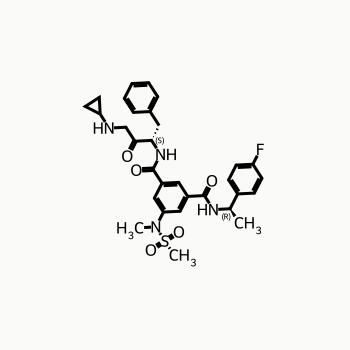 C[C@@H](NC(=O)c1cc(C(=O)N[C@@H](Cc2ccccc2)C(=O)CNC2CC2)cc(N(C)S(C)(=O)=O)c1)c1ccc(F)cc1